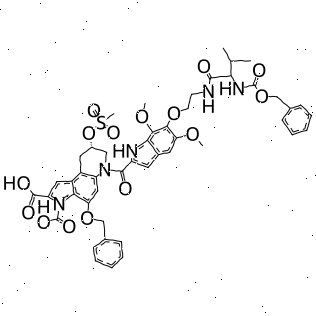 COc1cc2cc(C(=O)N3C[C@@H](OS(C)(=O)=O)Cc4c3cc(OCc3ccccc3)c3c4cc(C(=O)O)n3C(=O)O)[nH]c2c(OC)c1OCCNC(=O)C(NC(=O)OCc1ccccc1)C(C)C